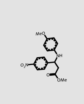 COC(=O)CC(Nc1ccc(OC)cc1)c1ccc([N+](=O)[O-])cc1